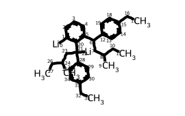 [Li][c]1cccc(C(CC(C)CC)c2ccc(CC)cc2)c1[C]([Li])(CC(C)CC)c1ccc(CC)cc1